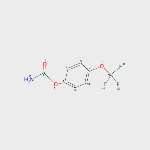 NC(=O)Oc1ccc(OC(F)(F)F)cc1